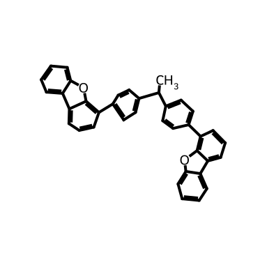 CC(c1ccc(-c2cccc3c2oc2ccccc23)cc1)c1ccc(-c2cccc3c2oc2ccccc23)cc1